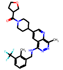 Cc1c(CNc2nnc(C)c3ncc(C4CCN(C(=O)C5CCOC5)CC4)cc23)cccc1C(F)(F)F